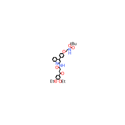 CCOc1ccc(C(=O)CCC(=O)Nc2cc(-c3ccc(OCCNC(=O)OC(C)(C)C)cc3)c3ccccc3n2)cc1OCC